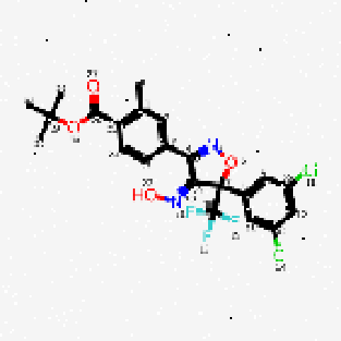 Cc1cc(C2=NOC(c3cc(Cl)cc(Cl)c3)(C(F)(F)F)/C2=N/O)ccc1C(=O)OC(C)(C)C